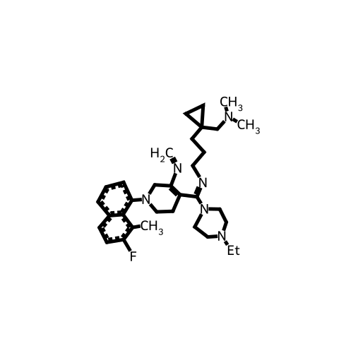 C=NC1=C(/C(=N\CCCC2(CN(C)C)CC2)N2CCN(CC)CC2)CCN(c2cccc3ccc(F)c(C)c23)C1